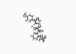 COc1ccc(-n2ncc(OC(=O)Nc3ccccc3OC(F)(F)F)c2C)cc1